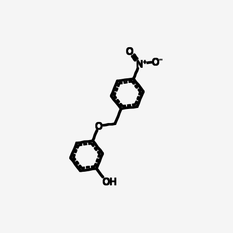 O=[N+]([O-])c1ccc(COc2cccc(O)c2)cc1